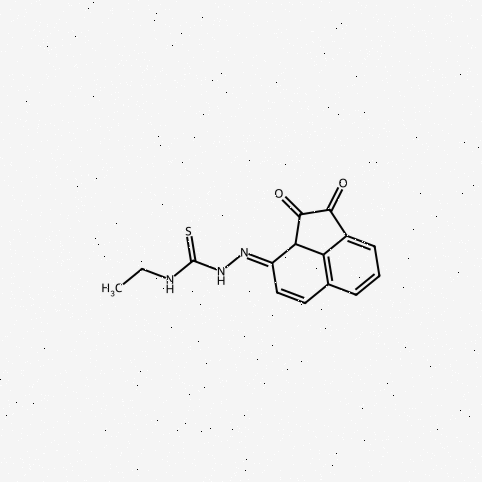 CCNC(=S)NN=C1C=Cc2cccc3c2C1C(=O)C3=O